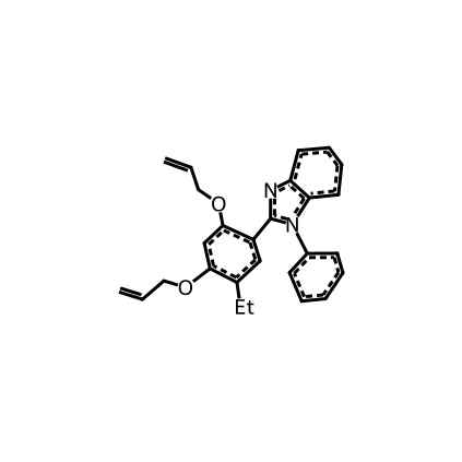 C=CCOc1cc(OCC=C)c(-c2nc3ccccc3n2-c2ccccc2)cc1CC